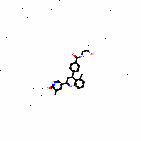 Cc1ccccc1C(C/C(=N\O)c1c[nH]c(=O)c(C)c1)c1ccc(C(=O)NC[C@H](C)O)cc1